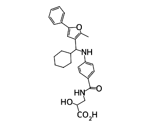 Cc1oc(-c2ccccc2)cc1C(Nc1ccc(C(=O)NCC(O)C(=O)O)cc1)C1CCCCC1